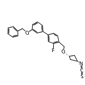 Fc1cc(-c2cccc(OCc3ccccc3)c2)ccc1CO[C@H]1C[C@@H](N=C=S)C1